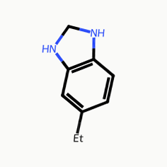 CCc1ccc2c(c1)NCN2